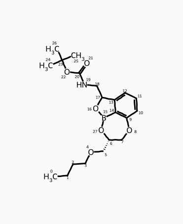 CCCCOC[C@H]1COc2cccc3c2B(OC3CNC(=O)OC(C)(C)C)O1